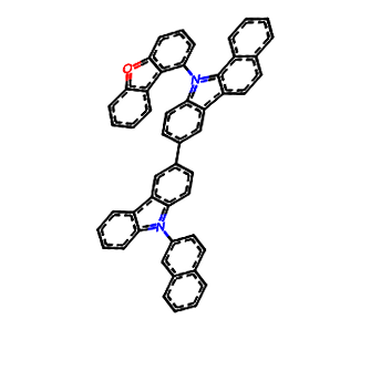 c1ccc2cc(-n3c4ccccc4c4cc(-c5ccc6c(c5)c5ccc7ccccc7c5n6-c5cccc6oc7ccccc7c56)ccc43)ccc2c1